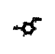 COc1ncnc(C(C)=O)n1